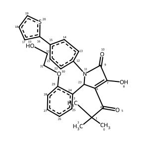 CC(C)(C)C(=O)C1=C(O)C(=O)N(c2ccc(-c3cccs3)cc2)C1c1ccccc1OCCO